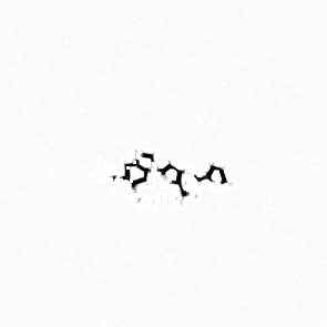 COc1cc2ncn(-c3cc(OCc4cccs4)c(C(N)=O)s3)c2cc1OC